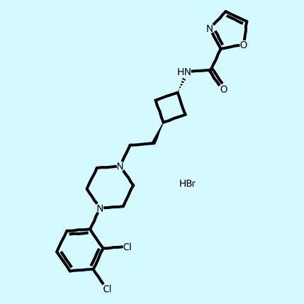 Br.O=C(N[C@H]1C[C@H](CCN2CCN(c3cccc(Cl)c3Cl)CC2)C1)c1ncco1